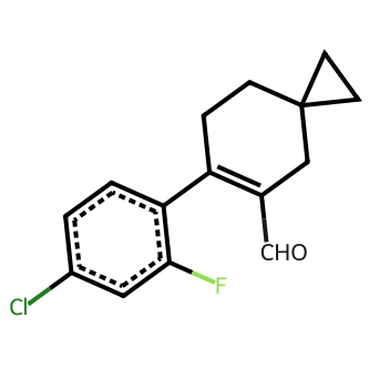 O=CC1=C(c2ccc(Cl)cc2F)CCC2(CC2)C1